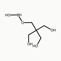 OBOCC(CO)(CO)CO